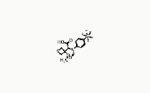 COC1(C(C(=O)O)N(C=O)c2ccc(S(F)(F)(F)(F)F)cc2)CSC1